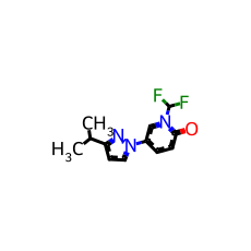 CC(C)c1ccn(-c2ccc(=O)n(C(F)F)c2)n1